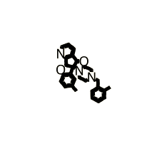 Cc1cccc(C2(N3CCN(Cc4ccccc4C)CC3)C(=O)c3cccnc3C2=O)c1